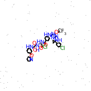 O=C(NC[C@H](NC(=O)c1ccc(Nc2nc(NC3(c4ccc(Cl)cc4)CC3)nc(OCC(F)(F)F)n2)cc1)C(=O)Cl)C(=O)Nc1cccc(Oc2ccccn2)c1